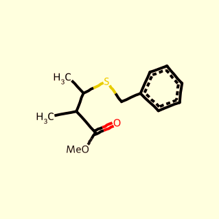 COC(=O)C(C)C(C)SCc1ccccc1